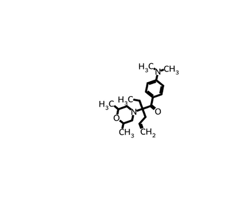 C=CCC(CC)(C(=O)c1ccc(N(C)C)cc1)N1CC(C)OC(C)C1